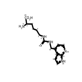 NC(CCCCNC(=S)NCc1ccnc2[nH]ccc12)C(=O)O